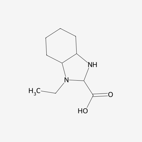 CCN1C(C(=O)O)NC2CCCCC21